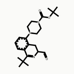 CC(C)(C)OC(=O)N1CCN(c2cccc3c2CC(C=O)N=C3C(C)(C)C)CC1